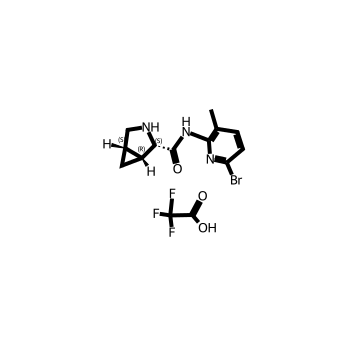 Cc1ccc(Br)nc1NC(=O)[C@H]1NC[C@H]2C[C@H]21.O=C(O)C(F)(F)F